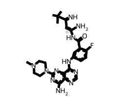 CN1CCN(c2nc(N)c3ncnc(Nc4ccc(F)c(C(=O)N/C(N)=C/C(=N)C(C)(C)C)c4)c3n2)CC1